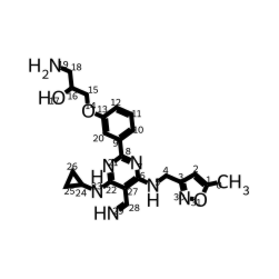 Cc1cc(CNc2nc(-c3cccc(OCC(O)CN)c3)nc(NC3CC3)c2C=N)no1